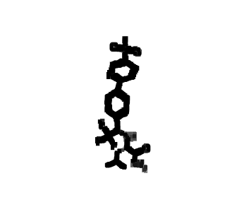 CC(C)C[C@H](N[C@@H](c1ccc(-c2ccc(S(C)(=O)=O)cn2)cc1)C(F)(F)F)C(N)=O